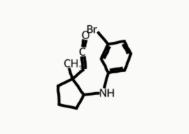 CC1(C=C=O)CCCC1Nc1cccc(Br)c1